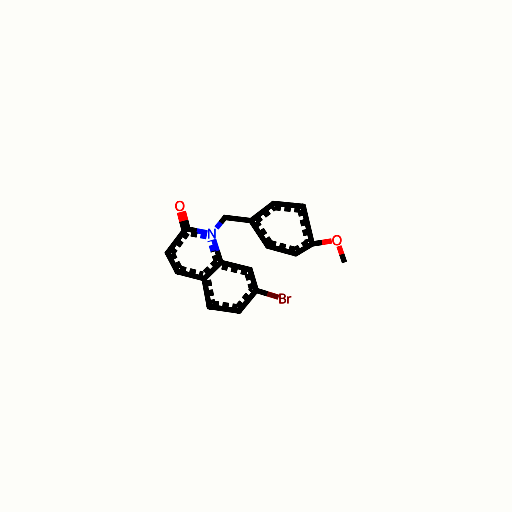 COc1ccc(Cn2c(=O)ccc3ccc(Br)cc32)cc1